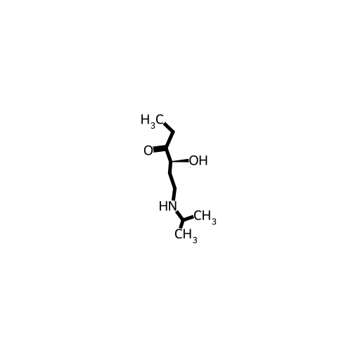 CCC(=O)[C@@H](O)CCNC(C)C